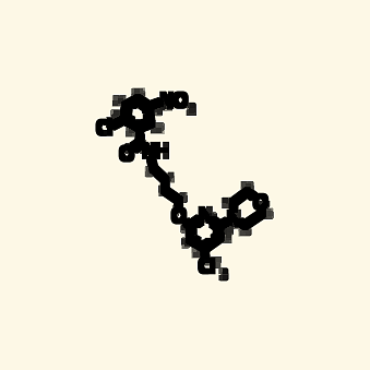 O=C(NCCCCOc1cc(C(F)(F)F)cc(N2CCOCC2)n1)c1cc([N+](=O)[O-])ccc1Cl